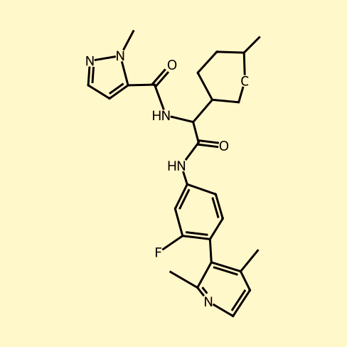 Cc1ccnc(C)c1-c1ccc(NC(=O)C(NC(=O)c2ccnn2C)C2CCC(C)CC2)cc1F